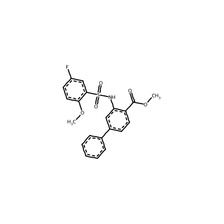 COC(=O)c1ccc(-c2ccccc2)cc1NS(=O)(=O)c1cc(F)ccc1OC